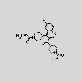 C=CC(=O)N1CCN(c2c(C(=O)N3CCN([S+](C)[O-])CC3)cnc3ccc(F)cc23)CC1